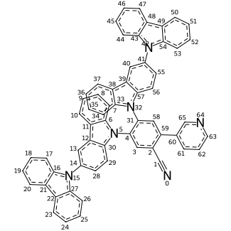 N#Cc1cc(-n2c3ccccc3c3cc(-n4c5ccccc5c5ccccc54)ccc32)c(-n2c3ccccc3c3cc(-n4c5ccccc5c5ccccc54)ccc32)cc1-c1cccnc1